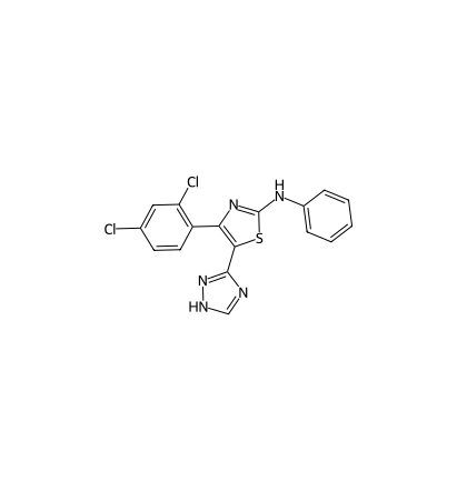 Clc1ccc(-c2nc(Nc3ccccc3)sc2-c2nc[nH]n2)c(Cl)c1